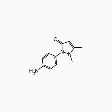 Cc1cc(=O)n(-c2ccc(N)cc2)n1C